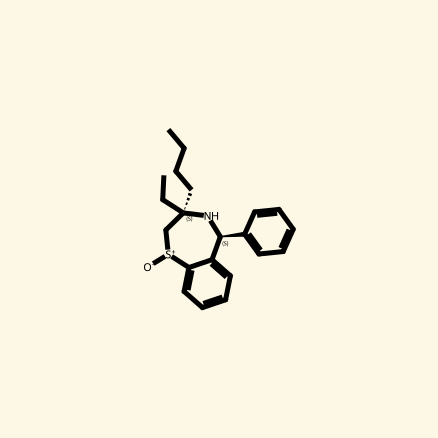 CCCC[C@@]1(CC)C[S+]([O-])c2ccccc2[C@H](c2ccccc2)N1